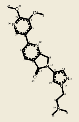 COc1cc(-c2ccc3c(n2)CN(c2cnn(CCN(C)C)c2)C3=O)cnc1OC